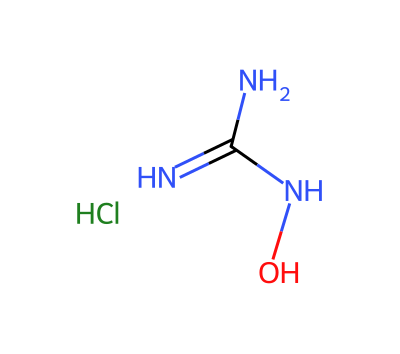 Cl.N=C(N)NO